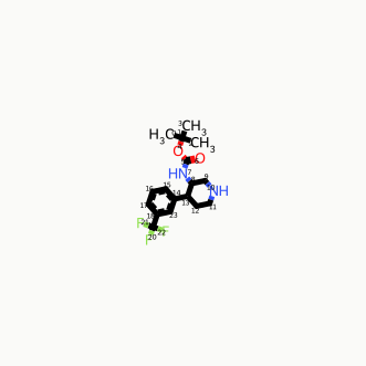 CC(C)(C)OC(=O)NC1CNCCC1c1cccc(C(F)(F)F)c1